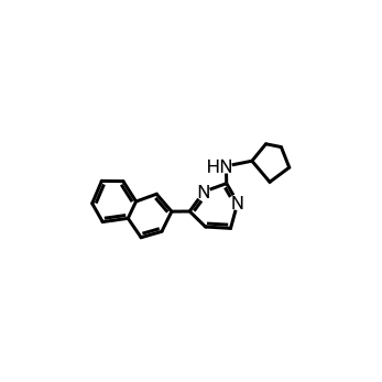 c1ccc2cc(-c3ccnc(NC4CCCC4)n3)ccc2c1